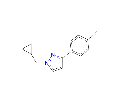 Clc1ccc(-c2ccn(CC3CC3)n2)cc1